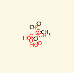 CCCCP(c1ccccc1)c1ccccc1.O=C(O)c1cc(C(=O)O)cc(S(=O)(=O)O)c1